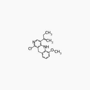 C=C(CC)c1cnc(Cl)c2c1Nc1c(cccc1OC)C2